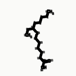 CCCCCC(CC)SCCCCCC(=O)O